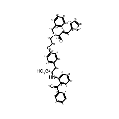 O=C(c1ccccc1)c1ccccc1N[C@@H](Cc1ccc(OCCN(Cc2ccccc2)C(=O)/C=C/c2cccs2)cc1)C(=O)O